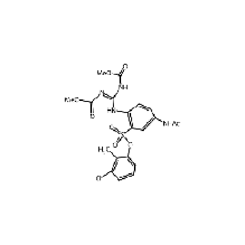 COC(=O)N=C(NC(=O)OC)Nc1ccc(NC(C)=O)cc1S(=O)(=O)Oc1cccc(Cl)c1C